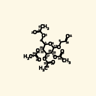 CC(=O)OCC1OC(OCC=O)[C@H](OC(C)=O)C(OC(C)=O)[C@@H]1OC(C)=O